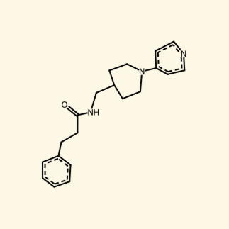 O=C(CCc1ccccc1)NCC1CCN(c2ccncc2)CC1